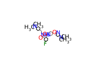 CN(C)c1ccc(CCNC(=O)c2cc(F)ccc2C(=O)N2CCC(Oc3ccc(N(C)C)cn3)CC2)cc1